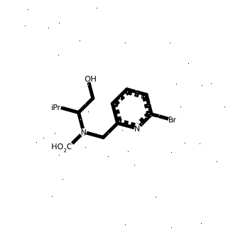 CC(C)C(CO)N(Cc1cccc(Br)n1)C(=O)O